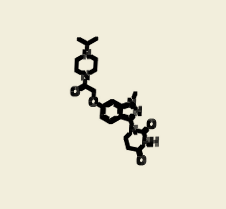 CC(C)N1CCN(C(=O)COc2ccc3c(N4CCC(=O)NC4=O)nn(C)c3c2)CC1